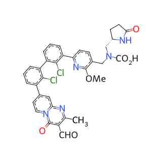 COc1nc(-c2cccc(-c3cccc(-c4ccn5c(=O)c(C=O)c(C)nc5c4)c3Cl)c2Cl)ccc1CN(C[C@@H]1CCC(=O)N1)C(=O)O